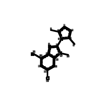 Cc1ccc(C)n1-c1nc2c(Br)cc(Cl)cc2n1C